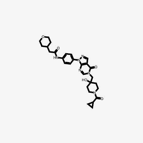 O=C(CC1CCOCC1)Nc1ccc(-n2ncc3c(=O)n(CC4(O)CCN(C(=O)C5CC5)CC4)cnc32)cc1